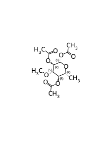 CO[C@@H]1[C@@H](OC(C)=O)[C@H](OC(C)=O)O[C@H](C)[C@H]1OC(C)=O